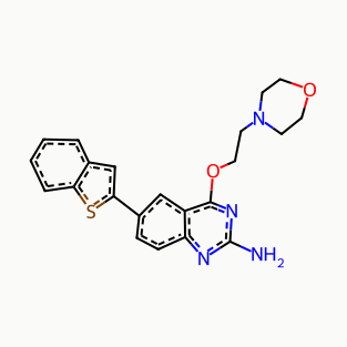 Nc1nc(OCCN2CCOCC2)c2cc(-c3cc4ccccc4s3)ccc2n1